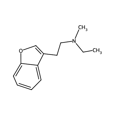 CCN(C)CCc1coc2ccccc12